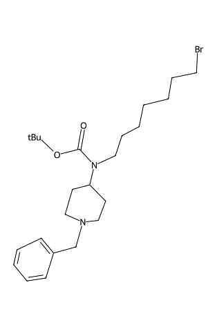 CC(C)(C)OC(=O)N(CCCCCCCBr)C1CCN(Cc2ccccc2)CC1